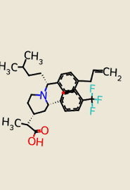 C=CCc1ccc([C@@H](CCC(C)C)N2CC[C@@H](C(C)C(=O)O)C[C@H]2c2ccc(C(F)(F)F)cc2)cc1